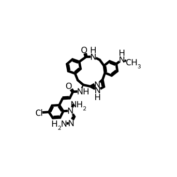 CNc1ccc2c(c1)CNC(=O)c1cccc(c1)C[C@H](NC(=O)/C=C/c1cc(Cl)ccc1N(N)/C=N\N)c1nc-2c[nH]1